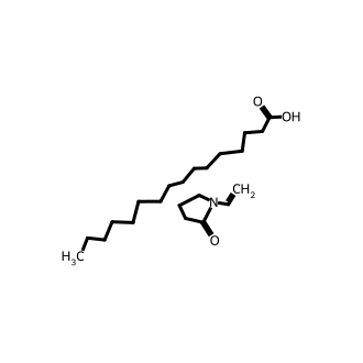 C=CN1CCCC1=O.CCCCCCCCCCCCCCCC(=O)O